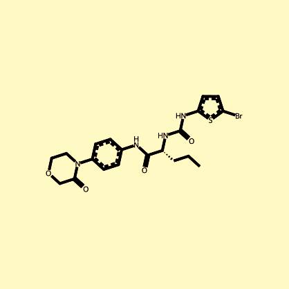 CCC[C@@H](NC(=O)Nc1ccc(Br)s1)C(=O)Nc1ccc(N2CCOCC2=O)cc1